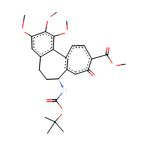 COC(=O)c1ccc2c(cc1=O)[C@@H](NC(=O)OC(C)(C)C)CCc1cc(OC)c(OC)c(OC)c1-2